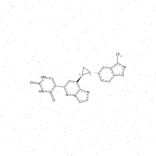 O=c1[nH]cc(-c2cc([C@H]3C[C@@H]3c3ccc4onc(C(F)(F)F)c4c3)c3nccn3n2)c(=O)[nH]1